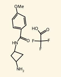 COc1ccc(C(=O)NC2CC(N)C2)cc1.O=C(O)C(F)(F)F